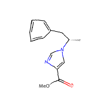 COC(=O)c1cn([C@@H](C)Cc2ccccc2)cn1